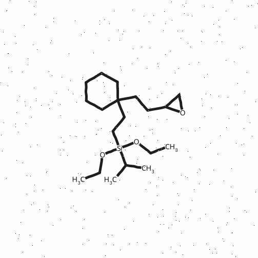 CCO[Si](CCC1(CCC2CO2)CCCCC1)(OCC)C(C)C